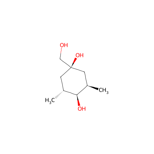 C[C@@H]1C[C@](O)(CO)C[C@@H](C)[C@H]1O